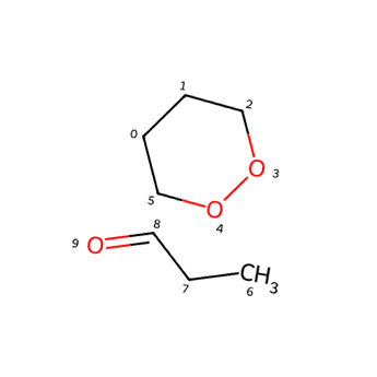 C1CCOOC1.CCC=O